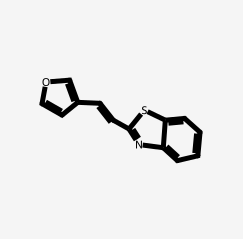 C(=Cc1nc2ccccc2s1)c1ccoc1